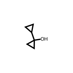 OC1([C]2CC2)CC1